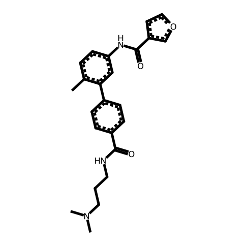 Cc1ccc(NC(=O)c2ccoc2)cc1-c1ccc(C(=O)NCCCN(C)C)cc1